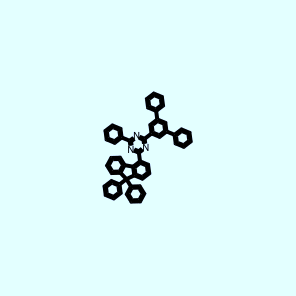 c1ccc(-c2cc(-c3ccccc3)cc(-c3nc(-c4ccccc4)nc(-c4cccc5c4-c4ccccc4C5(c4ccccc4)c4ccccc4)n3)c2)cc1